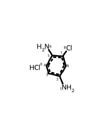 Cl.Nc1ccc(N)c(Cl)c1